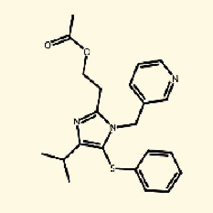 CC(=O)OCCc1nc(C(C)C)c(Sc2ccccc2)n1Cc1cccnc1